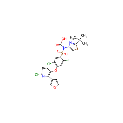 CC(C)(C)c1nc(N(C(=O)O)S(=O)(=O)c2cc(Cl)c(Oc3ccc(Cl)nc3-c3ccoc3)cc2F)cs1